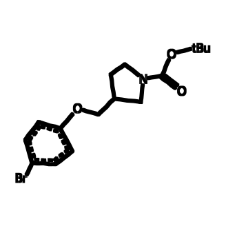 CC(C)(C)OC(=O)N1CCC(COc2ccc(Br)cc2)C1